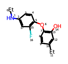 CCNc1ccc(Oc2ccc(CC)cc2O)c(F)c1